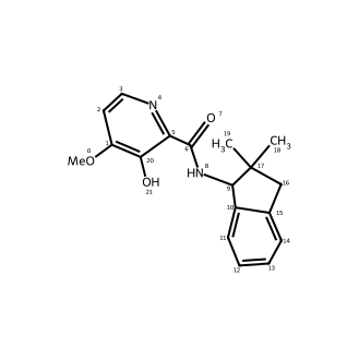 COc1ccnc(C(=O)NC2c3ccccc3CC2(C)C)c1O